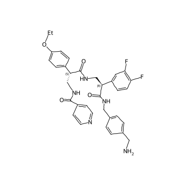 CCOc1ccc([C@@H](CNC(=O)c2ccncc2)C(=O)NC[C@H](C(=O)NCc2ccc(CN)cc2)c2ccc(F)c(F)c2)cc1